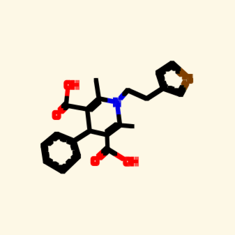 CC1=C(C(=O)O)C(c2ccccc2)C(C(=O)O)=C(C)N1CCc1ccsc1